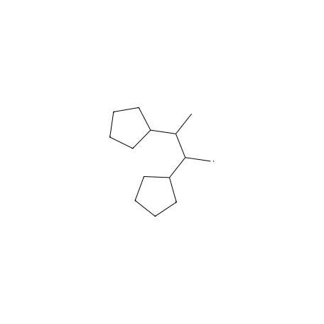 [CH2]C(C1CCCC1)C(C)C1CCCC1